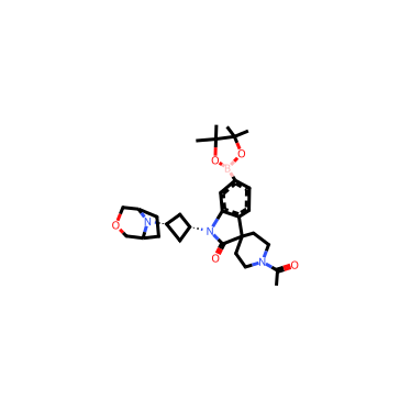 CC(=O)N1CCC2(CC1)C(=O)N([C@H]1C[C@@H](N3C4CCC3COC4)C1)c1cc(B3OC(C)(C)C(C)(C)O3)ccc12